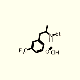 C=O.CCNC(C)Cc1cccc(C(F)(F)F)c1.Cl